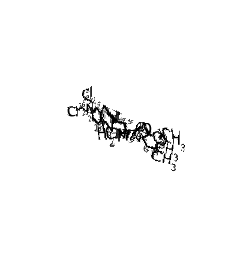 CCOC(=O)C(CC(C)C)NC(=O)C(N)Cc1nc2cc(N(CCCl)CCCl)ccc2n1C